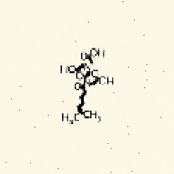 CC(C)CCCCC(=O)N(CCN(CC(=O)O)CC(=O)O)CC(=O)O